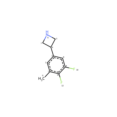 Cc1cc(C2CNC2)cc(F)c1F